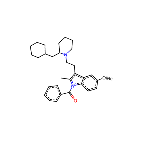 COc1ccc2c(c1)c(CCN1CCCCC1CC1CCCCC1)c(C)n2C(=O)c1ccccc1